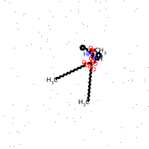 CCCCCCCCCCCCCCCCCC(=O)OCC(COC(=O)CCCCCCCCCCCCCCCCC)OC(=O)[C@@H]1C[C@H]2CCCC[C@@H]2N1C(=O)C(C)N[C@@H](CCc1ccccc1)C(=O)OCC